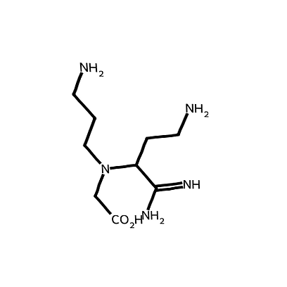 N=C(N)C(CCN)N(CCCN)CC(=O)O